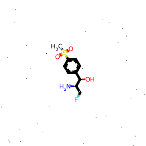 CS(=O)(=O)c1ccc([C@@H](O)[C@H](N)CF)cc1